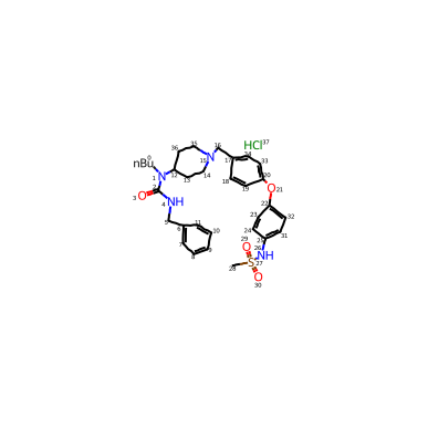 CCCCN(C(=O)NCc1ccccc1)C1CCN(Cc2ccc(Oc3ccc(NS(C)(=O)=O)cc3)cc2)CC1.Cl